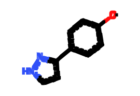 [O]c1ccc(-c2cc[nH]n2)cc1